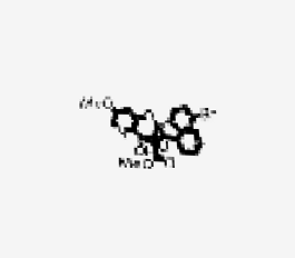 COC(=O)C1C(c2ccccc2)[C@]2(c3ccc(Br)cc3)Oc3cc(OC)cnc3[C@@]1(O)C2=O